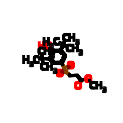 COC(=O)CCS(=O)(=O)c1cc(C(C)(C)C)c(O)c(C(C)(C)C)c1